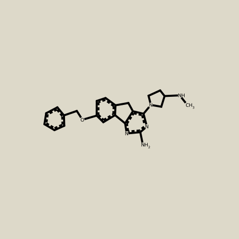 CNC1CCN(c2nc(N)nc3c2Cc2ccc(OCc4ccccc4)cc2-3)C1